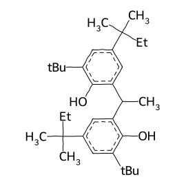 CCC(C)(C)c1cc(C(C)c2cc(C(C)(C)CC)cc(C(C)(C)C)c2O)c(O)c(C(C)(C)C)c1